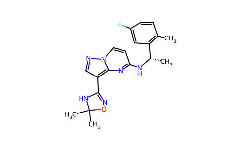 Cc1ccc(F)cc1[C@H](C)Nc1ccn2ncc(C3=NOC(C)(C)N3)c2n1